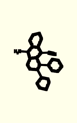 N#Cc1c2ccccc2c(N)c2ccc(-c3ccccc3)c(-c3ccccc3)c12